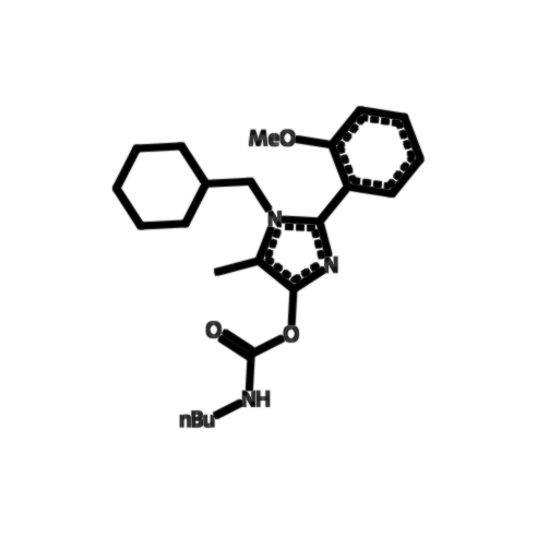 CCCCNC(=O)Oc1nc(-c2ccccc2OC)n(CC2CCCCC2)c1C